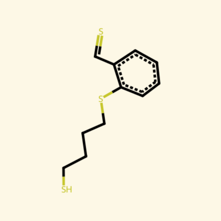 S=Cc1ccccc1SCCCCS